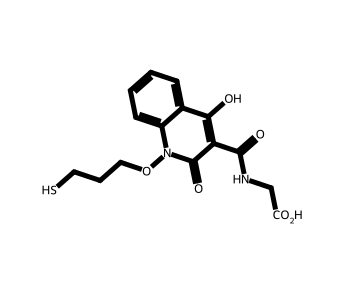 O=C(O)CNC(=O)c1c(O)c2ccccc2n(OCCCS)c1=O